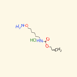 C=CCOC(=O)NCCCCCCON.Cl